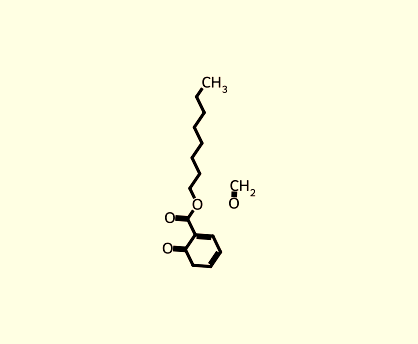 C=O.CCCCCCCCOC(=O)C1=CC=CCC1=O